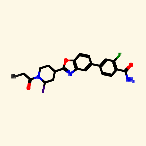 CC(C)CC(=O)N1CCC(c2nc3cc(-c4ccc(C(N)=O)c(F)c4)ccc3o2)CC1I